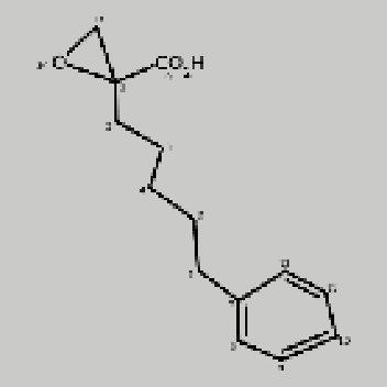 O=C(O)C1(CCCCCc2ccccc2)CO1